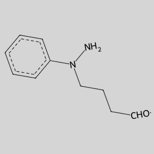 NN(CCC[C]=O)c1ccccc1